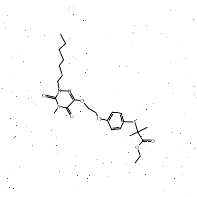 CCCCCCCn1nc(OCCOc2ccc(SC(C)(C)C(=O)OCC)cc2)c(=O)n(C)c1=O